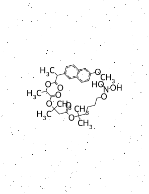 COc1ccc2cc(C(C)C(=O)OC(C)C(=O)OC(C)(C)CC(=O)OC(C)(C)CCCCON(O)O)ccc2c1